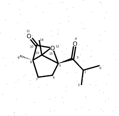 CC(C)C(=O)[C@]12CC[C@@](C)(C(=O)O1)C2(C)C